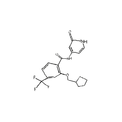 O=C(Nc1cc[nH]c(=O)c1)c1ccc(C(F)(F)F)cc1OCC1CCCC1